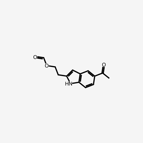 CC(=O)c1ccc2[nH]c(CCOC=O)cc2c1